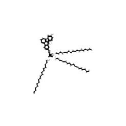 CCCCCCCCCCCCCCCCCCOCC(COCCCCCCCCCCCCCCCCCC)(COCCCCCCCCCCCCCCCCCC)COc1ccc2c(c1)C(O)(c1ccc(Cl)cc1)c1ccccc1-2